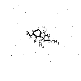 CC1=CC(C)(c2cccc(C=O)c2F)C(C)O1